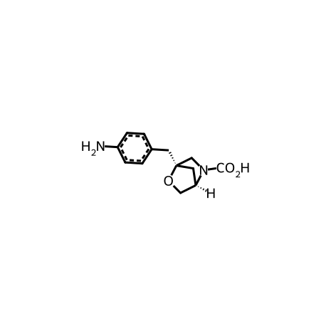 Nc1ccc(C[C@]23C[C@H](CO2)N(C(=O)O)C3)cc1